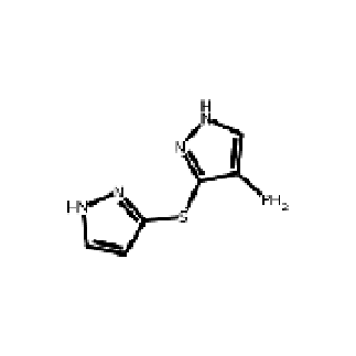 Pc1c[nH]nc1Sc1cc[nH]n1